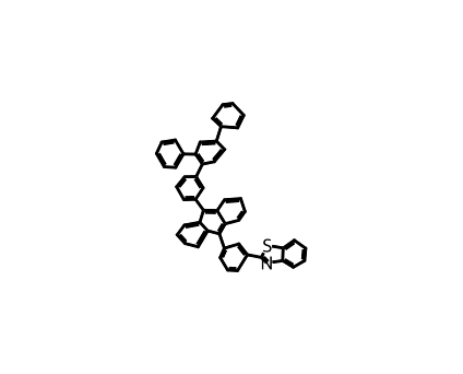 c1ccc(-c2ccc(-c3cccc(-c4c5ccccc5c(-c5cccc(-c6nc7ccccc7s6)c5)c5ccccc45)c3)c(-c3ccccc3)c2)cc1